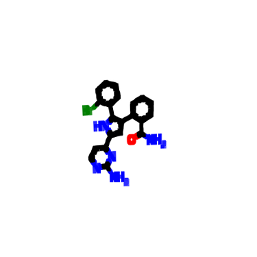 NC(=O)c1ccccc1-c1cc(-c2ccnc(N)n2)[nH]c1-c1ccccc1Br